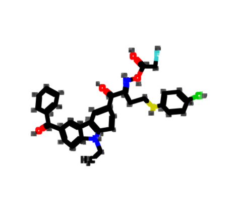 CCn1c2ccc(C(=O)/C(CCSc3ccc(Cl)cc3)=N/OC(=O)CF)cc2c2cc(C(=O)c3ccccc3)ccc21